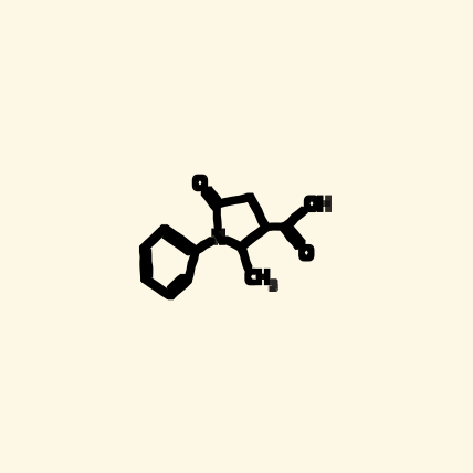 CC1C(C(=O)O)CC(=O)N1c1ccccc1